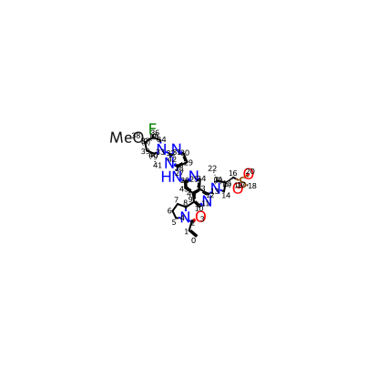 C=CC(=O)N1CCCC1c1cnc(N2C[C@H](CS(C)(=O)=O)[C@H]2C)c2cnc(Nc3ccnc(N4C[C@H](F)[C@H](OC)C[C@H]4C)n3)cc12